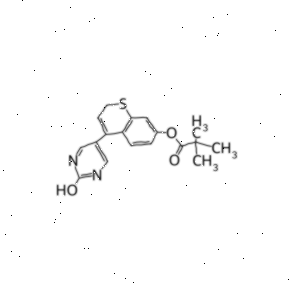 CC(C)(C)C(=O)Oc1ccc2c(c1)SCC=C2c1cnc(O)nc1